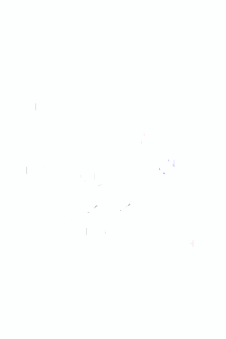 CC(C)CCCC(C)[C@H]1CC[C@H]2[C@@H]3CC=C4C[C@@H](O)CC[C@]4(C)[C@H]3CC[C@]12C.N=C=O.N=C=O